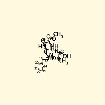 COC(=O)c1nc2c(N[C@@H](CO)[C@H](C)O)nc(SCc3ccccc3)nc2[nH]c1=O